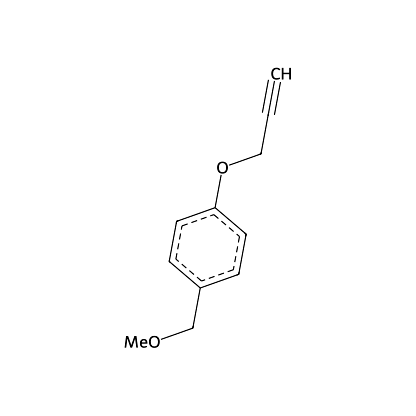 C#CCOc1ccc(COC)cc1